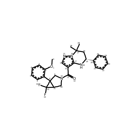 COc1ccccc1C12CN(C(=O)c3cnn4c3N[C@@H](c3ccccc3)CC4(C)C)CC1C2(F)F